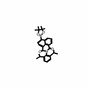 CC(C)c1cccc(C(C)C)c1N1C(=O)c2cccc3c(B4OC(C)(C)C(C)(C)O4)ccc(c23)C1=O